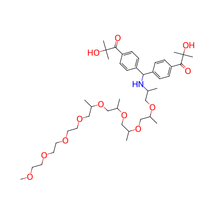 COCCOCCOCCOCC(C)OCC(C)OCC(C)OCC(C)OCC(C)NC(c1ccc(C(=O)C(C)(C)O)cc1)c1ccc(C(=O)C(C)(C)O)cc1